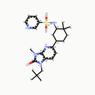 Cn1c(=O)n(CC(C)(C)C)c2ccc(C3CCC(C)(C)C(NS(=O)(=O)c4cccnc4)C3)nc21